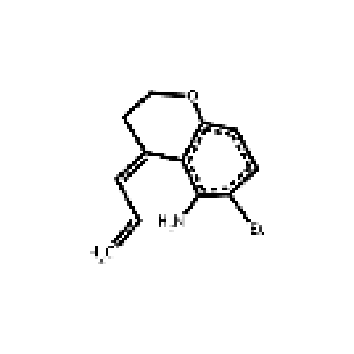 C=C/C=C1/CCOc2ccc(CC)c(N)c21